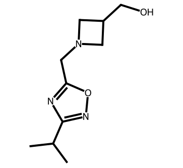 CC(C)c1noc(CN2CC(CO)C2)n1